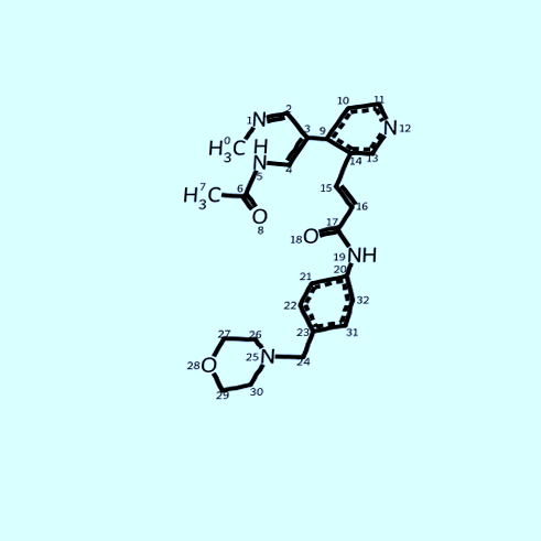 C/N=C\C(=C/NC(C)=O)c1ccncc1/C=C/C(=O)Nc1ccc(CN2CCOCC2)cc1